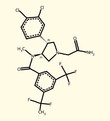 CN(C(=O)c1cc(C(C)(F)F)cc(C(F)(F)F)c1)[C@@H]1CN(CC(N)=O)C[C@H]1c1ccc(Cl)c(Cl)c1